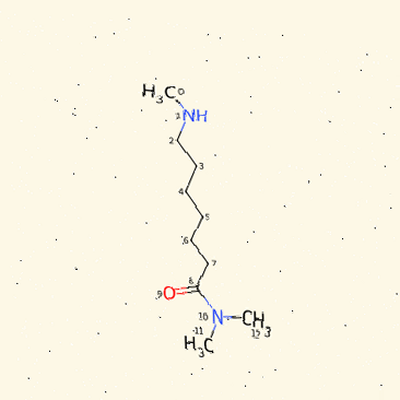 CNCCCCCCC(=O)N(C)C